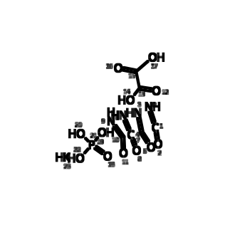 N=C=O.N=C=O.N=C=O.N=C=O.O=C(O)C(=O)O.O=P(O)(O)O.[KH]